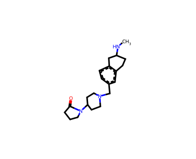 CNC1CCc2cc(CN3CCC(N4CCCC4=O)CC3)ccc2C1